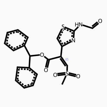 CS(=O)(=O)/C=C(\C(=O)OC(c1ccccc1)c1ccccc1)c1csc(NC=O)n1